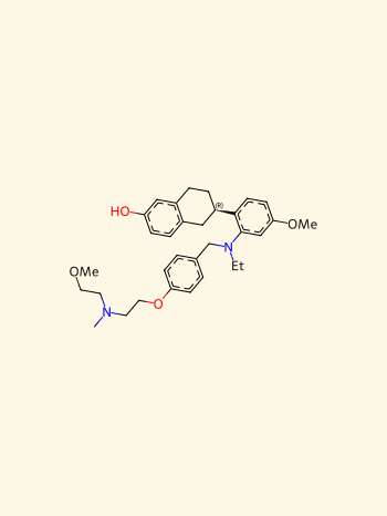 CCN(Cc1ccc(OCCN(C)CCOC)cc1)c1cc(OC)ccc1[C@@H]1CCc2cc(O)ccc2C1